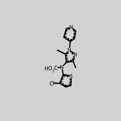 Cc1nn(-c2ccncc2)c(C)c1N(C(=O)O)c1sccc1Cl